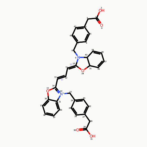 O=C(O)Cc1ccc(CN2/C(=C/C=C/c3oc4ccccc4[n+]3Cc3ccc(CC(=O)O)cc3)OC3C=CC=CC32)cc1